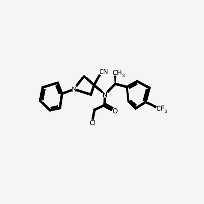 C[C@@H](c1ccc(C(F)(F)F)cc1)N(C(=O)CCl)C1(C#N)CN(c2ccccc2)C1